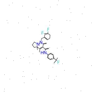 C=C(Nc1ccc(C(C)(C)F)cc1)C1=C(C)C2(C)CCCN2N(CC2=CCCC(F)=C2F)C1=C